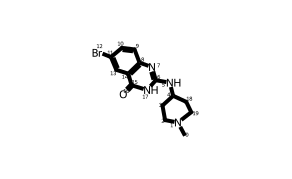 CN1CCC(Nc2nc3ccc(Br)cc3c(=O)[nH]2)CC1